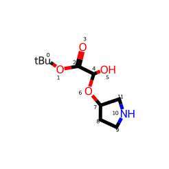 CC(C)(C)OC(=O)C(O)OC1CCNC1